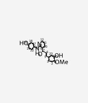 COc1ccc(C=CC(=O)c2cccnc2Nc2ccc(O)cc2)cc1O